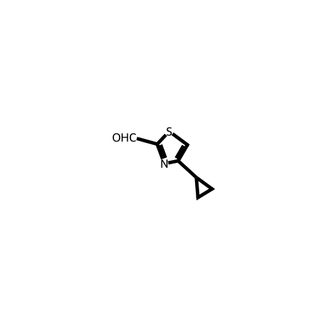 O=Cc1nc(C2CC2)cs1